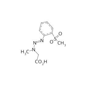 CN(CC(=O)O)/N=N/c1ccccc1S(C)(=O)=O